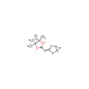 CC1(C)OB(C=C2CC3CC3C2)OC1(C)C